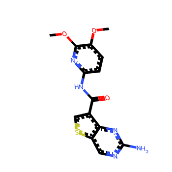 COc1ccc(NC(=O)c2csc3cnc(N)nc23)nc1OC